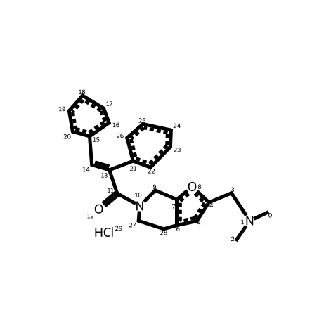 CN(C)Cc1cc2c(o1)CN(C(=O)C(=Cc1ccccc1)c1ccccc1)CC2.Cl